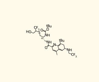 Cc1cc(C(=O)NC[C@H](CSC(CO)C(F)(F)F)NC(=O)OC(C)(C)C)nc2c1=CC(NCC(F)(F)F)CC=2C(C)(C)C